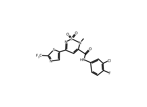 CN1C(C(=O)Nc2ccc(F)c(Cl)c2)=CC(c2cnc(C(F)(F)F)s2)=NS1(=O)=O